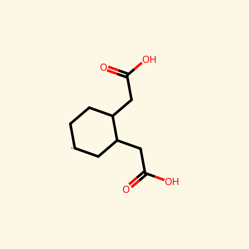 O=C(O)CC1C[CH]CCC1CC(=O)O